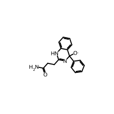 NC(=O)CCC1=NC([O])(c2ccccc2)c2ccccc2N1